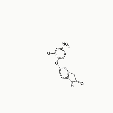 O=C1Cc2cc(Oc3ccc([N+](=O)[O-])cc3Cl)ccc2N1